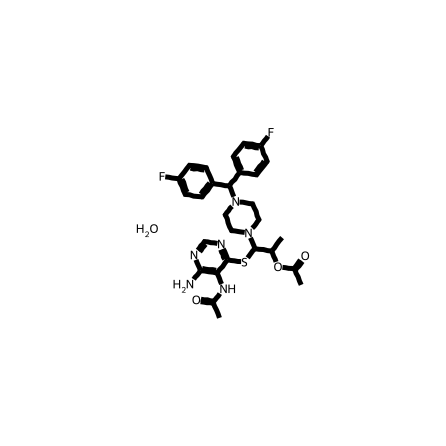 CC(=O)Nc1c(N)ncnc1SC(C(C)OC(C)=O)N1CCN(C(c2ccc(F)cc2)c2ccc(F)cc2)CC1.O